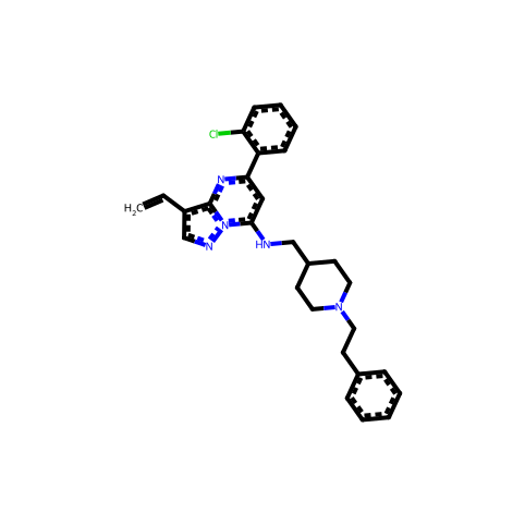 C=Cc1cnn2c(NCC3CCN(CCc4ccccc4)CC3)cc(-c3ccccc3Cl)nc12